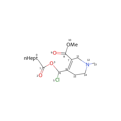 CCCCCCCC(=O)OC(Cl)C1=C(C(=O)OC)CN(C)CC1